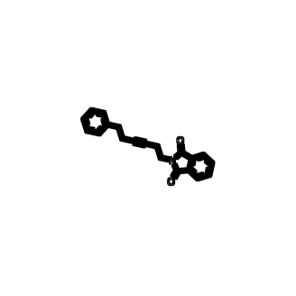 O=C1c2ccccc2C(=O)N1CCC#CCCc1ccccc1